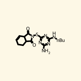 CCCCNc1nc(N)nc(SN2C(=O)C3C=CCCC3C2=O)n1